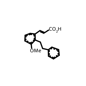 COc1cccc(C=CC(=O)O)c1CCc1ccccc1